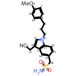 COc1ccc(CCCn2cc(CC#N)c3cc(CS(N)(=O)=O)ccc32)cc1